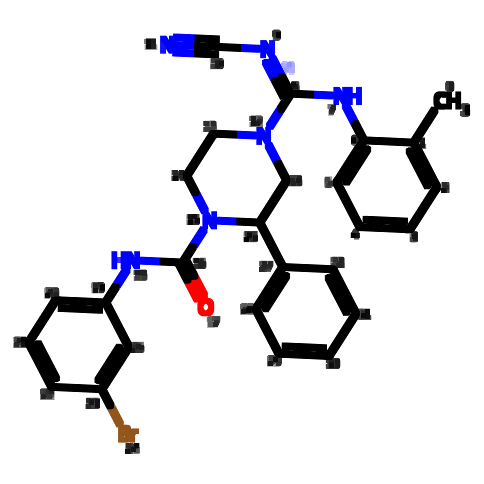 Cc1ccccc1N/C(=N/C#N)N1CCN(C(=O)Nc2cccc(Br)c2)C(c2ccccc2)C1